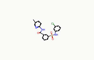 Cc1ccc(NC(=O)c2cccc(S(=O)(=O)Nc3cccc(Cl)c3)c2)nc1